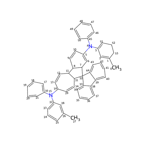 CC1=CC(N(C2=CC3C(C=C2)C2C=CC(N(c4ccccc4)c4cccc(C)c4)C=CC2C32c3ccccc3-c3ccccc32)c2ccccc2)=CCC1